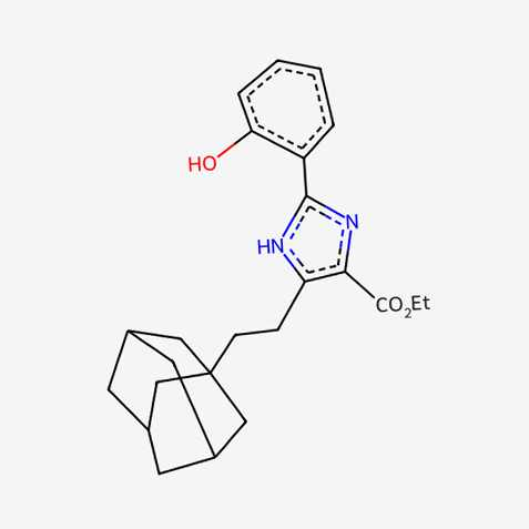 CCOC(=O)c1nc(-c2ccccc2O)[nH]c1CCC12CC3CC(CC(C3)C1)C2